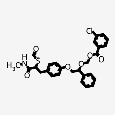 CNC(=O)C(Cc1ccc(OCC(OCOC(=O)c2cccc(Cl)c2)c2ccccc2)cc1)SC=O